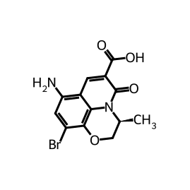 C[C@H]1COc2c(Br)cc(N)c3cc(C(=O)O)c(=O)n1c23